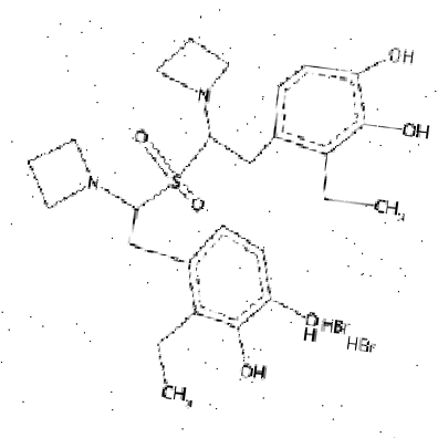 Br.Br.CCc1c(CC(N2CCC2)S(=O)(=O)C(Cc2ccc(O)c(O)c2CC)N2CCC2)ccc(O)c1O